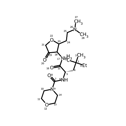 CCC(C)(C)C[C@H](NC(=O)N1CCOCC1)C(=O)NC1C(=O)COC1CCN(C)C